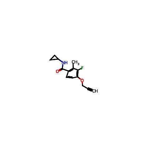 C#CCOc1ccc(C(=O)NC2CC2)c(C)c1F